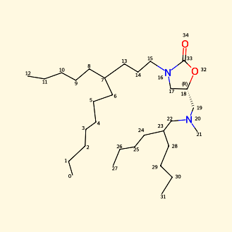 CCCCCCCC(CCCCC)CCCN1C[C@@H](CN(C)CC(CCCC)CCCC)OC1=O